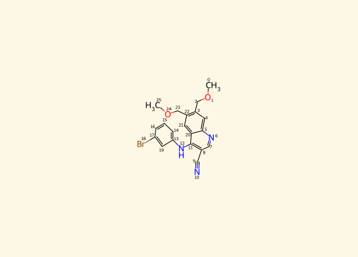 COCc1cc2ncc(C#N)c(Nc3cccc(Br)c3)c2cc1COC